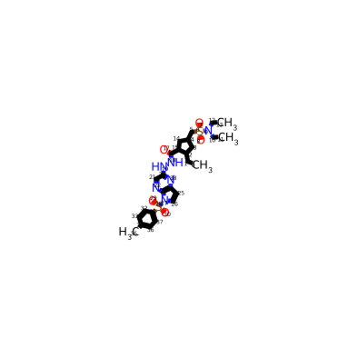 CCC1CC(CS(=O)(=O)N(CC)CC)CC1C(=O)NNc1cnc2c(ccn2S(=O)(=O)c2ccc(C)cc2)n1